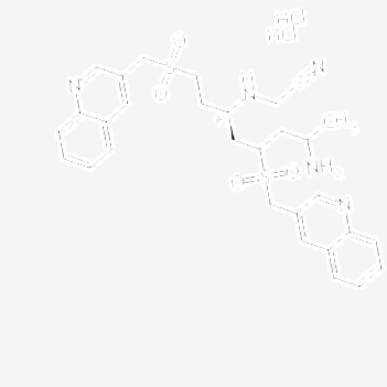 CC(N)CC(C[C@@H](CCS(=O)(=O)Cc1cnc2ccccc2c1)NCC#N)S(=O)(=O)Cc1cnc2ccccc2c1.Cl.Cl